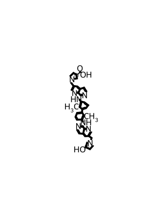 Cc1c(Nc2nccc3cc(CN4CC[C@@H](O)C4)cnc23)cccc1-c1cccc(Nc2nccc3cc(CN4CC[C@@H](C(=O)O)C4)cnc23)c1C